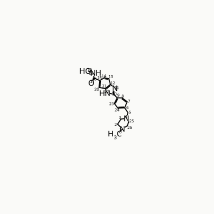 CN1CCN(Cc2ccc(-c3nc4ccc(C(=O)NO)cc4[nH]3)cc2)CC1